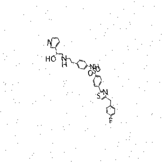 O=S(=O)(Nc1ccc(CCNCC(O)c2cccnc2)cc1)c1ccc(-c2nc(Cc3ccc(F)cc3)cs2)cc1